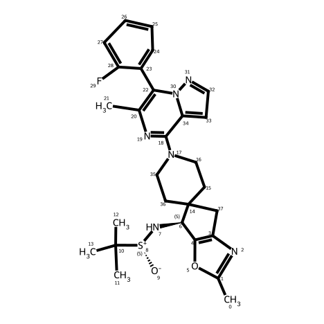 Cc1nc2c(o1)[C@@H](N[S@+]([O-])C(C)(C)C)C1(CCN(c3nc(C)c(-c4ccccc4F)n4nccc34)CC1)C2